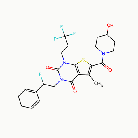 Cc1c(C(=O)N2CCC(O)CC2)sc2c1c(=O)n(CC(F)C1=CCCC=C1)c(=O)n2CCC(F)(F)F